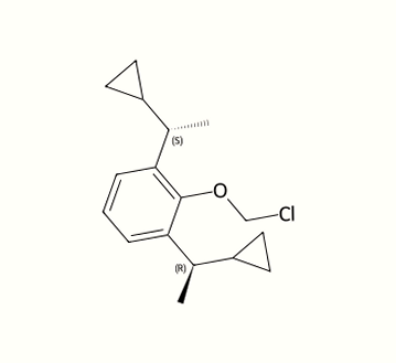 C[C@H](c1cccc([C@H](C)C2CC2)c1OCCl)C1CC1